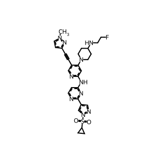 Cn1ccc(C#Cc2cnc(Nc3ccnc(-c4cnn(S(=O)(=O)C5CC5)c4)n3)cc2N2CCC(NCCF)CC2)n1